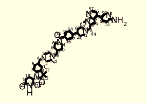 C[C@H]1CN(Cc2ccc3c(c2)C(C)(C)C(=O)N3[C@@H]2CCC(=O)NC2=O)CCN1CC1CCN(C(=O)c2ccc(C3CCN([C@@H](C)c4cc5c(-c6ccc(N)nc6)ccnc5n4C)CC3)cc2)CC1